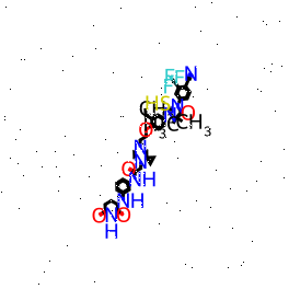 CCc1cc(N2C(S)N(c3ccc(C#N)c(C(F)(F)F)c3)C(=O)C2(C)C)ccc1OCCN1CCN(CC(=O)Nc2cccc(NC3CCC(=O)NC3=O)c2)C2(CC2)C1